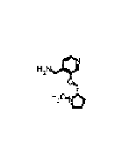 CN1CCC[C@H]1COc1cnccc1CN